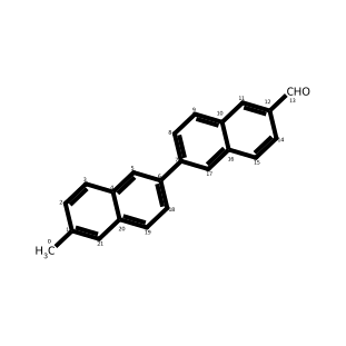 Cc1ccc2cc(-c3ccc4cc(C=O)ccc4c3)ccc2c1